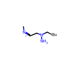 CCC(C)CN(N)C/C=N\C